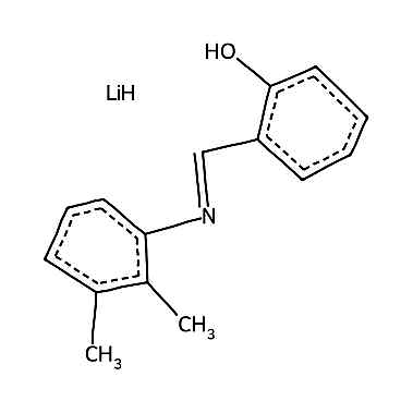 Cc1cccc(/N=C/c2ccccc2O)c1C.[LiH]